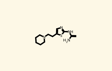 C=C(N)Nc1ncc(CCN2CCCCC2)s1